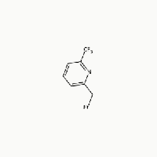 CC(C)Cc1cccc(C(F)(F)F)n1